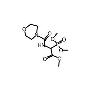 COC(=O)C(NC(=O)N1CCOCC1)P(=O)(OC)OC